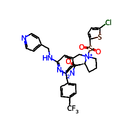 NC(=O)[C@@H]1CCC[N+]1(Cc1cc(NCc2ccncc2)nc(-c2ccc(C(F)(F)F)cc2)c1)S(=O)(=O)c1ccc(Cl)s1